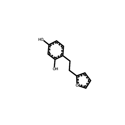 Oc1ccc(CCc2ccco2)c(O)c1